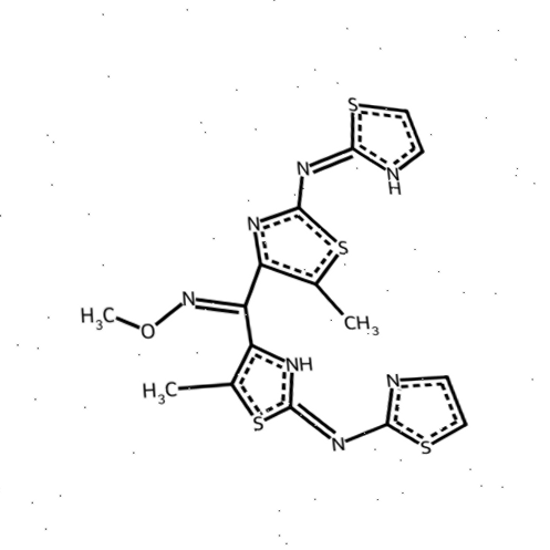 CO/N=C(/c1nc(/N=c2\[nH]ccs2)sc1C)c1[nH]/c(=N\c2nccs2)sc1C